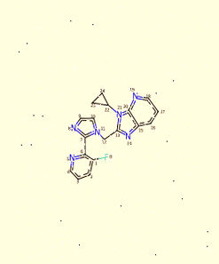 Fc1cccnc1-c1nccn1Cc1nc2cccnc2n1C1CC1